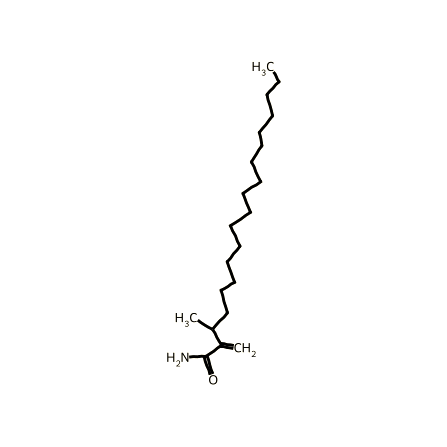 C=C(C(N)=O)C(C)CCCCCCCCCCCCCCCC